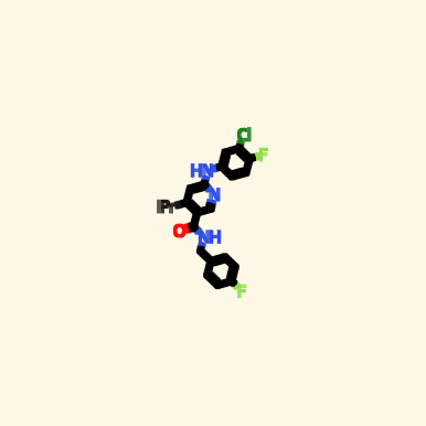 CC(C)c1cc(Nc2ccc(F)c(Cl)c2)ncc1C(=O)NCc1ccc(F)cc1